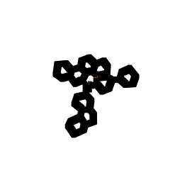 c1ccc(-c2ccc(N(c3ccc4c(ccc5ccccc54)c3)c3cc4ccccc4c4ccc5ccccc5c34)cc2)cc1